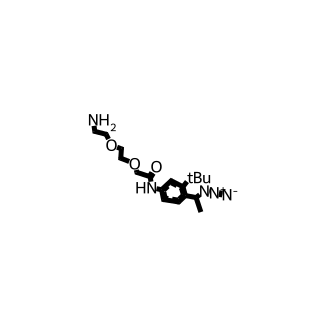 CC(N=[N+]=[N-])c1ccc(NC(=O)COCCOCCN)cc1C(C)(C)C